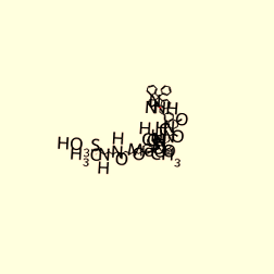 COC(=O)[C@H](CNC(=O)C1CC(=O)c2ccc(CNc3nccn3C(c3ccccc3)(c3ccccc3)c3ccccc3)cc2N1C)NS(=O)(=O)c1c(C)cc(OCCCC(=O)NCCN[C@H](C)CS(=O)(=O)O)cc1C